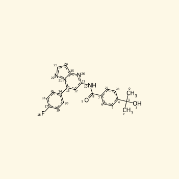 CC(C)(O)c1ccc(C(=O)Nc2cc(-c3ccc(F)cc3)n3nccc3n2)cc1